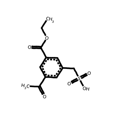 CCOC(=O)c1cc(CS(=O)(=O)O)cc(C(C)=O)c1